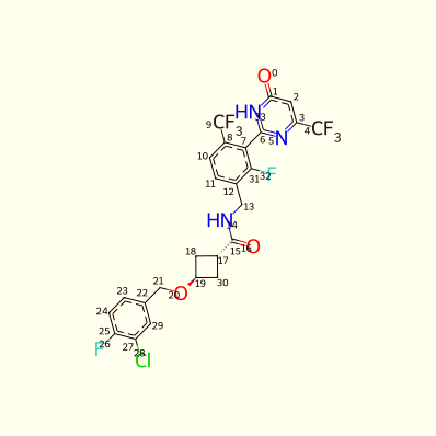 O=c1cc(C(F)(F)F)nc(-c2c(C(F)(F)F)ccc(CNC(=O)[C@H]3C[C@H](OCc4ccc(F)c(Cl)c4)C3)c2F)[nH]1